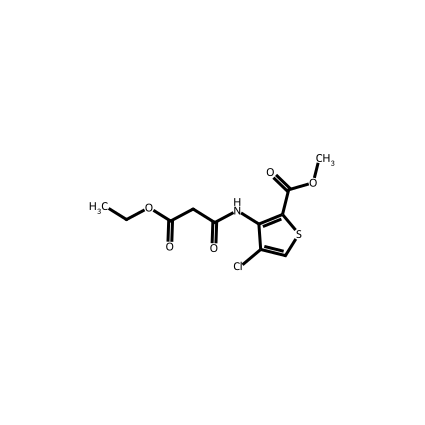 CCOC(=O)CC(=O)Nc1c(Cl)csc1C(=O)OC